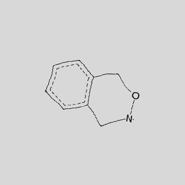 c1ccc2c(c1)C[N]OC2